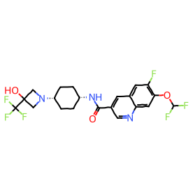 O=C(N[C@H]1CC[C@@H](N2CC(O)(C(F)(F)F)C2)CC1)c1cnc2cc(OC(F)F)c(F)cc2c1